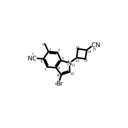 Cc1cc2c(cc1C#N)c(Br)cn2C1CC(C#N)C1